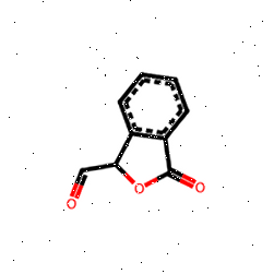 O=CC1OC(=O)c2ccccc21